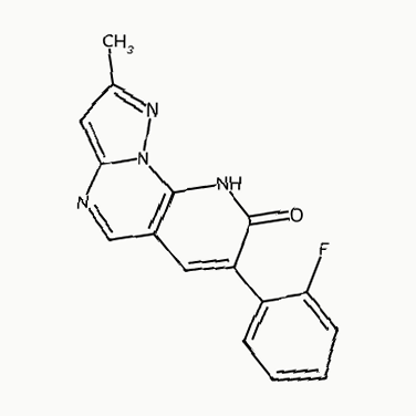 Cc1cc2ncc3cc(-c4ccccc4F)c(=O)[nH]c3n2n1